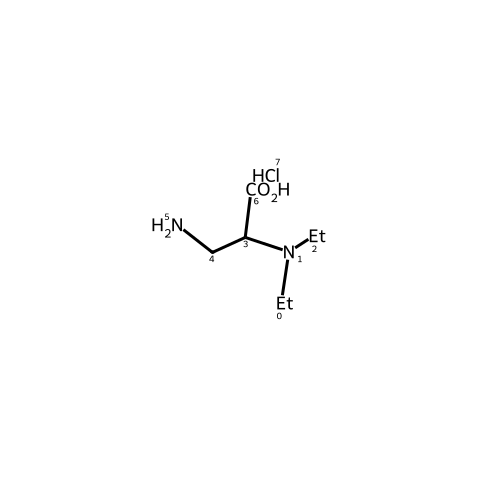 CCN(CC)C(CN)C(=O)O.Cl